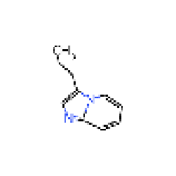 CCCc1cnc2ccccn12